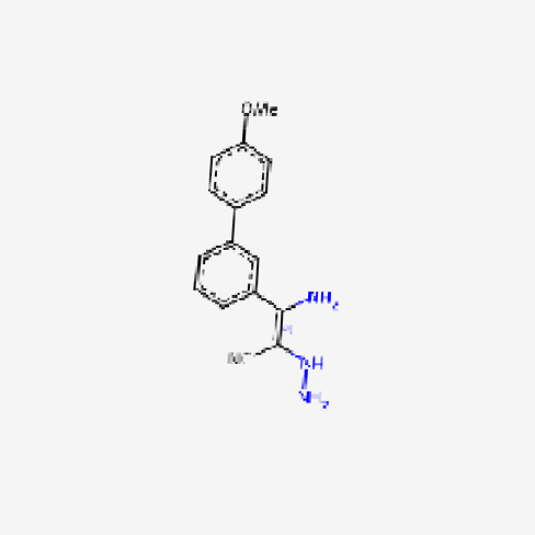 COc1ccc(-c2cccc(/C(N)=C(\C#N)NN)c2)cc1